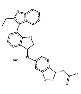 CCc1nc2ccccc2n1-c1cccc2c1OC[C@H]2Nc1ccc2c(c1)OC[C@H]2CC(=O)[O-].[Na+]